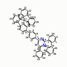 c1ccc(-c2nc(-c3ccc(-c4ccc5c(c4)C4(c6ccccc6-c6ccccc64)c4ccccc4-5)cc3)cc(-c3ccccc3-c3ccccc3)n2)cc1